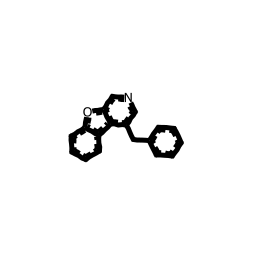 c1ccc(Cc2cncc3oc4ccccc4c23)cc1